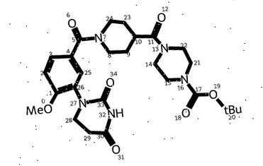 COc1ccc(C(=O)N2CCC(C(=O)N3CCN(C(=O)OC(C)(C)C)CC3)CC2)cc1N1CCC(=O)NC1=O